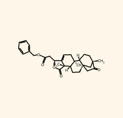 C[C@@]12CC[C@@H]3[C@@](CC[C@@H]4[C@]5(C)C(=O)OC(CC(=O)OCc6ccccc6)C5=CC[C@@]34C)(CC1=O)C2